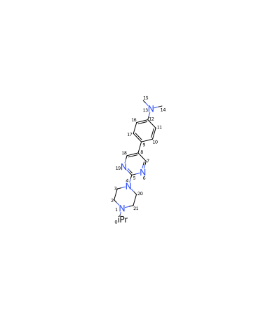 CC(C)N1CCN(c2ncc(-c3ccc(N(C)C)cc3)cn2)CC1